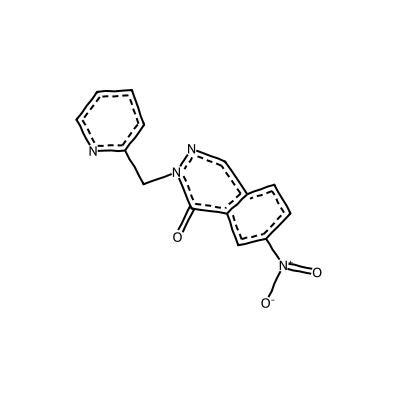 O=c1c2cc([N+](=O)[O-])ccc2cnn1Cc1ccccn1